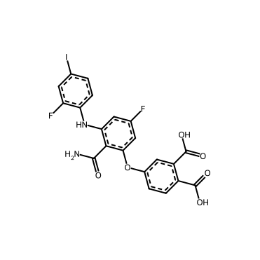 NC(=O)c1c(Nc2ccc(I)cc2F)cc(F)cc1Oc1ccc(C(=O)O)c(C(=O)O)c1